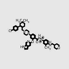 Cc1cc(S(=O)(=O)NC(=O)c2ccc(N3CCN(CC4=C(c5ccc(Cl)cc5)CC(C)(C)CC4)CC3)cc2Oc2cc3cc[nH]c3cn2)ccc1NCC1CCOCC1